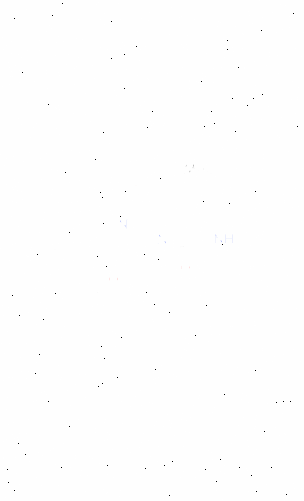 COc1cccc2[nH]c(C(=O)N3CC(=O)N(Cc4ccccc4)[C@@H](COc4ccc(F)cc4)C3)cc12